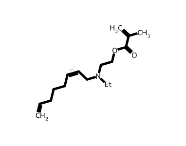 C=CCCC/C=C\CN(CC)CCOC(=O)C(=C)C